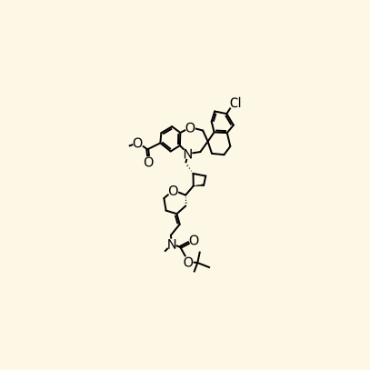 COC(=O)c1ccc2c(c1)N(C[C@@H]1CC[C@H]1[C@@H]1C/C(=C/CN(C)C(=O)OC(C)(C)C)CCO1)CC1(CCCc3cc(Cl)ccc31)CO2